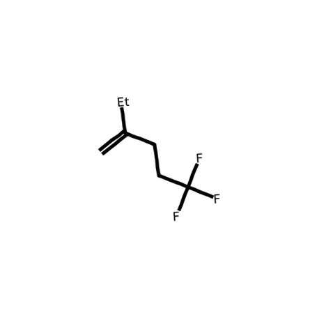 C=C(CC)CCC(F)(F)F